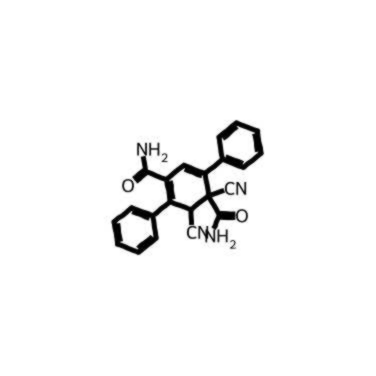 N#CC1C(c2ccccc2)=C(C(N)=O)C=C(c2ccccc2)C1(C#N)C(N)=O